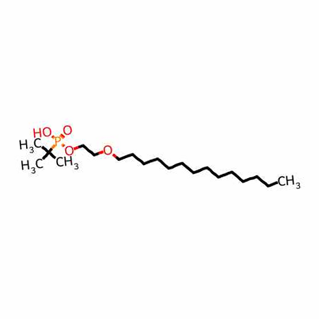 CCCCCCCCCCCCCCOCCOP(=O)(O)C(C)(C)C